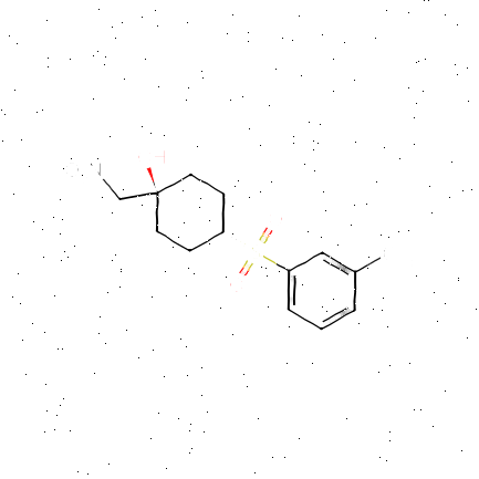 O=[N+]([O-])C[C@]1(O)CC[C@H](S(=O)(=O)c2cccc(C(F)(F)F)c2)CC1